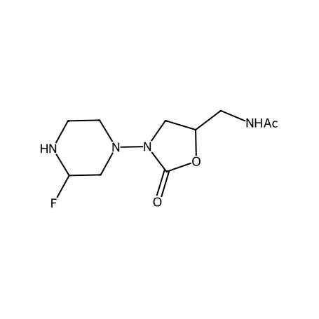 CC(=O)NCC1CN(N2CCNC(F)C2)C(=O)O1